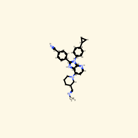 C/N=C/C1CCCN(c2ccnc3c2nc(-c2ccc(C#N)cc2)n3-c2ccc(C3CC3)cc2)C1